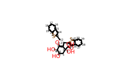 O=C(O)[C@@]1(O)C[C@@H](O)[C@H](O)C(OCc2cc3ccccc3s2)=C1Cc1cc2ccccc2s1